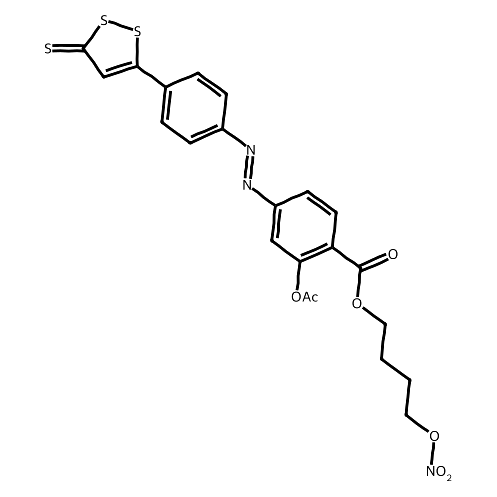 CC(=O)Oc1cc(N=Nc2ccc(-c3cc(=S)ss3)cc2)ccc1C(=O)OCCCCO[N+](=O)[O-]